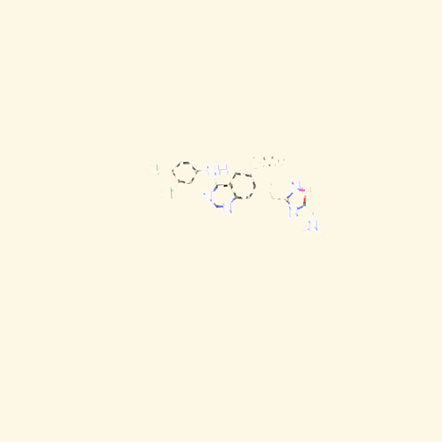 COc1cc2c(Nc3ccc(Cl)c(Cl)c3)ncnc2cc1OCc1noc(CN(C)C)n1